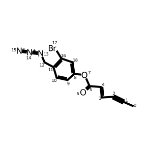 CC#CC=CC(=O)Oc1ccc(CN=[N+]=[N-])c(Br)c1